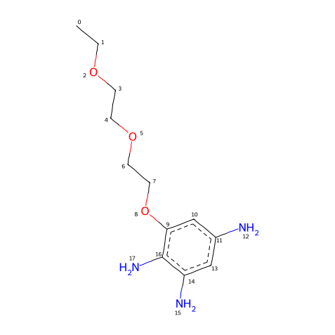 CCOCCOCCOc1cc(N)cc(N)c1N